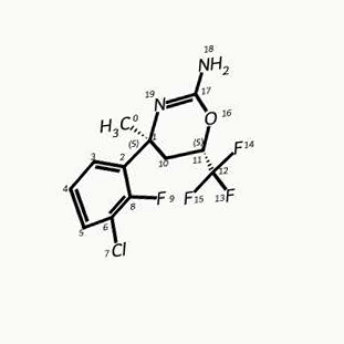 C[C@@]1(c2cccc(Cl)c2F)C[C@@H](C(F)(F)F)OC(N)=N1